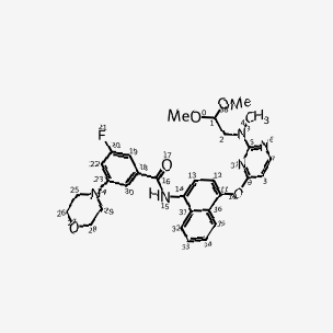 COC(CN(C)c1nccc(Oc2ccc(NC(=O)c3cc(F)cc(N4CCOCC4)c3)c3ccccc23)n1)OC